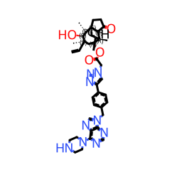 C=C[C@]1(C)C[C@@H](OC(=O)Cn2cc(-c3ccc(Cn4cnc5c(N6CCNCC6)ncnc54)cc3)nn2)[C@]2(C)C(C)CC[C@]3(CCC(=O)[C@H]32)[C@@H](C)[C@@H]1O